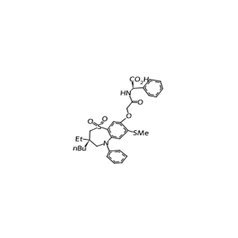 CCCC[C@]1(CC)CN(c2ccccc2)c2cc(SC)c(OCC(=O)N[C@@H](C(=O)O)c3ccccc3)cc2S(=O)(=O)C1